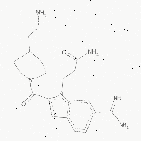 N=C(N)c1ccc2cc(C(=O)N3CCC(CCN)CC3)n(CCC(N)=O)c2c1